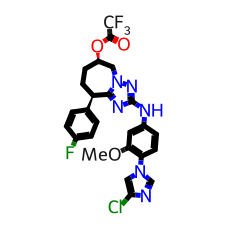 COc1cc(Nc2nc3n(n2)C[C@H](OC(=O)C(F)(F)F)CC[C@@H]3c2ccc(F)cc2)ccc1-n1cnc(Cl)c1